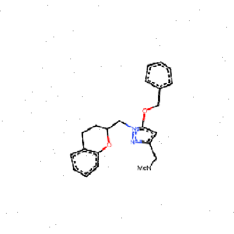 CNCc1cc(OCc2ccccc2)n(CC2CCc3ccccc3O2)n1